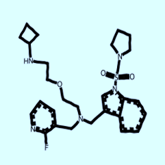 O=S(=O)(N1CCCC1)n1cc(CN(CCOCCNC2CCC2)Cc2cccnc2F)c2ccccc21